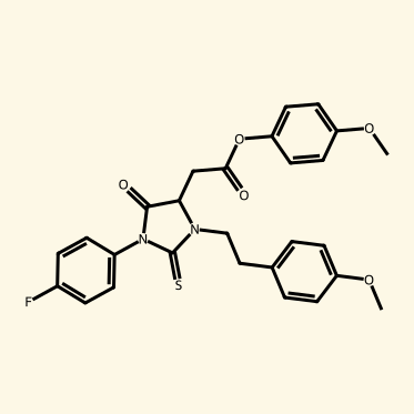 COc1ccc(CCN2C(=S)N(c3ccc(F)cc3)C(=O)C2CC(=O)Oc2ccc(OC)cc2)cc1